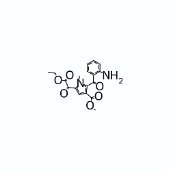 CCOC(=O)C(=O)c1cc(C(=O)OC)c(C(=O)c2ccccc2N)n1C